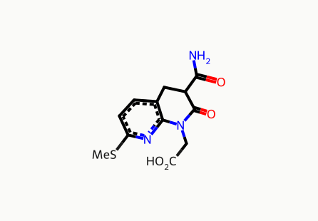 CSc1ccc2c(n1)N(CC(=O)O)C(=O)C(C(N)=O)C2